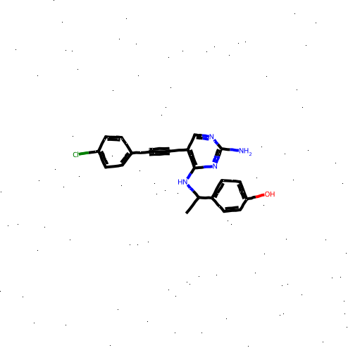 CC(Nc1nc(N)ncc1C#Cc1ccc(Cl)cc1)c1ccc(O)cc1